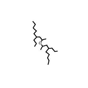 CCCCCC(CCC)CC(C)OC(C)CC(CCC)CCCCC